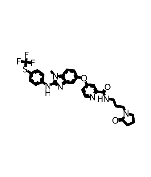 Cn1c(Nc2ccc(SC(F)(F)F)cc2)nc2cc(Oc3ccnc(C(=O)NCCCN4CCCC4=O)c3)ccc21